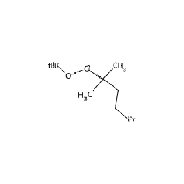 C[C](C)CCC(C)(C)OOC(C)(C)C